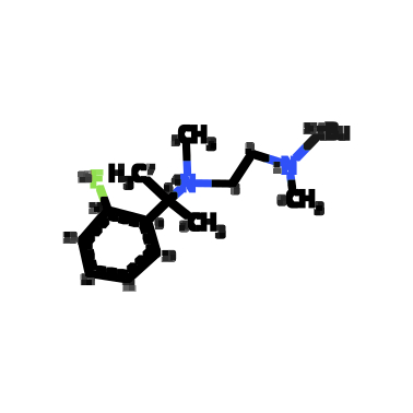 CN(CCN(C)C(C)(C)c1ccccc1F)C(C)(C)C